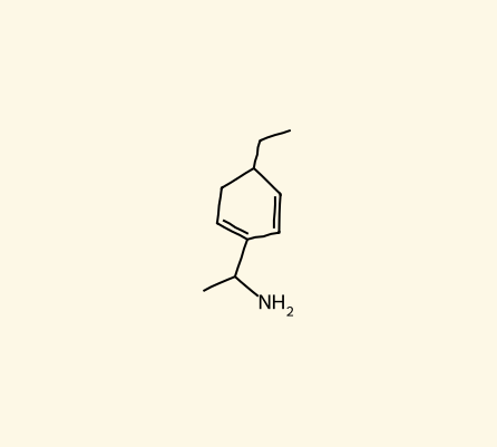 CCC1C=CC(C(C)N)=CC1